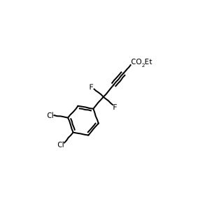 CCOC(=O)C#CC(F)(F)c1ccc(Cl)c(Cl)c1